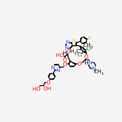 Cc1c(Cl)c2c(Cl)c(C)c1-c1c(-c3ccc(F)cc3)sc3ncnc(c13)O[C@@H](C(=O)O)Cc1cc(ccc1OCc1ccnc(-c3ccc(OC[C@H](O)CO)cc3)n1)OC[C@@H](CN1CCN(C)CC1)O2